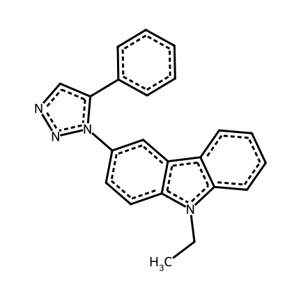 CCn1c2ccccc2c2cc(-n3nncc3-c3ccccc3)ccc21